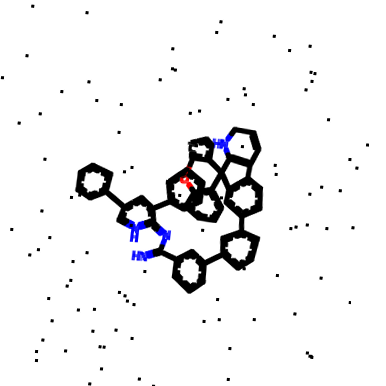 N=C(/N=c1\[nH]cc(-c2ccccc2)cc1-c1ccccc1)c1cccc(-c2cccc(-c3ccc4c(c3)C3(C5=C4C=CCN5)c4ccccc4Oc4ccccc43)c2)c1